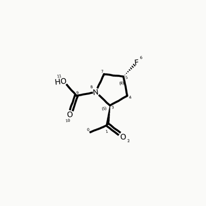 CC(=O)[C@@H]1C[C@@H](F)CN1C(=O)O